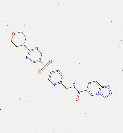 O=C(NCc1ccc(S(=O)(=O)c2cnc(N3CCOCC3)nc2)cn1)c1ccc2nccn2c1